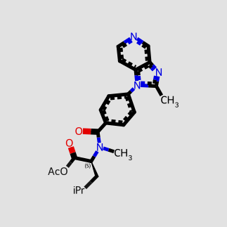 CC(=O)OC(=O)[C@H](CC(C)C)N(C)C(=O)c1ccc(-n2c(C)nc3cnccc32)cc1